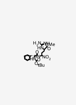 COC(=O)C(CCC(NC(=O)[C@@H](Cc1ccccc1)NC(=O)OC(C)(C)C)[N+](=O)[O-])NC(=N)N